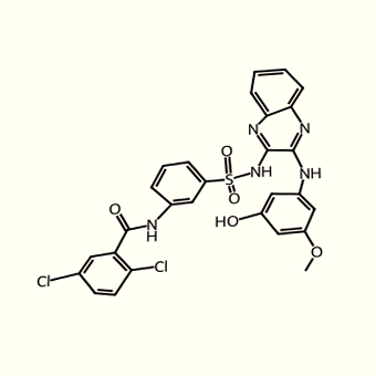 COc1cc(O)cc(Nc2nc3ccccc3nc2NS(=O)(=O)c2cccc(NC(=O)c3cc(Cl)ccc3Cl)c2)c1